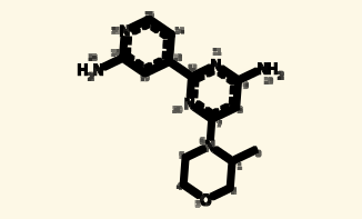 CC1COCCN1c1cc(N)nc(-c2ccnc(N)c2)n1